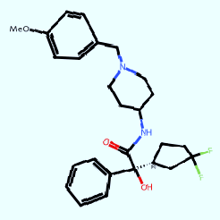 COc1ccc(CN2CCC(NC(=O)C(O)(c3ccccc3)[C@@H]3CCC(F)(F)C3)CC2)cc1